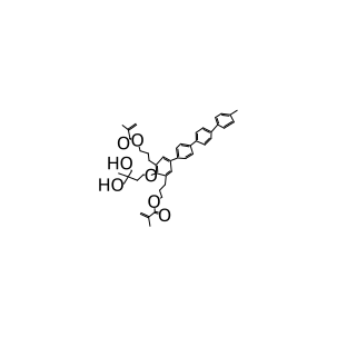 C=C(C)C(=O)OCCCc1cc(-c2ccc(-c3ccc(-c4ccc(C)cc4)cc3)cc2)cc(CCCOC(=O)C(=C)C)c1OCCC(C)(CO)CO